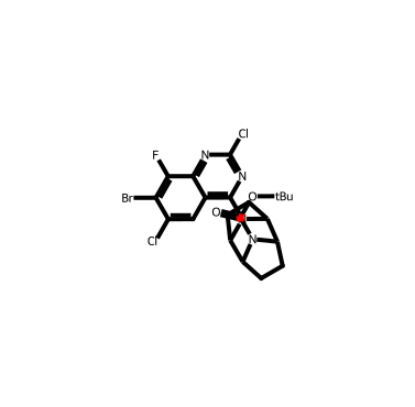 CC(C)(C)OC(=O)N1C2CCC1C1CCC2N1c1nc(Cl)nc2c(F)c(Br)c(Cl)cc12